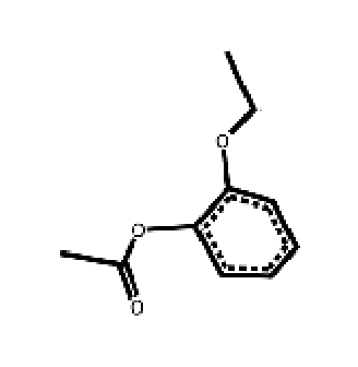 C[CH]Oc1ccccc1OC(C)=O